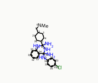 CNCC1CCC([C@@]2(N)Nc3ccccc3[C@@](N)(Nc3ccc(Cl)cc3)N2)CC1